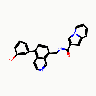 O=C(NCc1ccc(-c2cccc(O)c2)c2ccncc12)c1cc2ccccn2c1